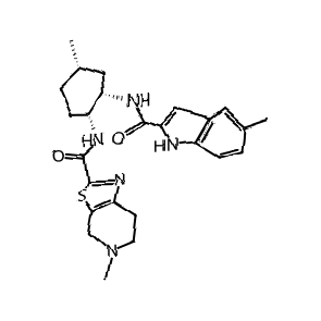 Cc1ccc2[nH]c(C(=O)N[C@H]3C[C@@H](C)CC[C@H]3NC(=O)c3nc4c(s3)CN(C)CC4)cc2c1